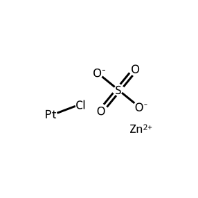 O=S(=O)([O-])[O-].[Cl][Pt].[Zn+2]